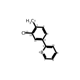 Cc1ccc(-c2bcccc2)cc1Cl